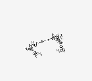 Cc1cnc(Nc2cccc(OCCCOCCCCOCCCOCC(=O)NC(C(=O)N3CCC[C@H]3C(=O)NCc3ccc(-c4scnc4C)cc3)C(C)(C)C)c2)nc1NCCCN(C)C(=O)C1CCC1